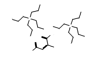 C/C(=C/C(=O)[O-])C(=O)[O-].CCC[N+](CCC)(CCC)CCC.CCC[N+](CCC)(CCC)CCC